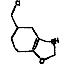 ClCC1CCC2=C(BCO2)C1